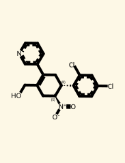 O=[N+]([O-])[C@H]1CC(CO)=C(c2cccnc2)C[C@@H]1c1ccc(Cl)cc1Cl